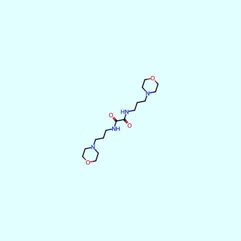 O=C(NCCCN1CCOCC1)C(=O)NCCCN1CCOCC1